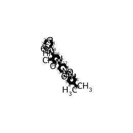 CC(C)c1ccc(S(=O)(=O)N2CCC(n3ncc(NC[C@@H]4COCCS4(=O)=O)c(Cl)c3=O)CC2)nc1